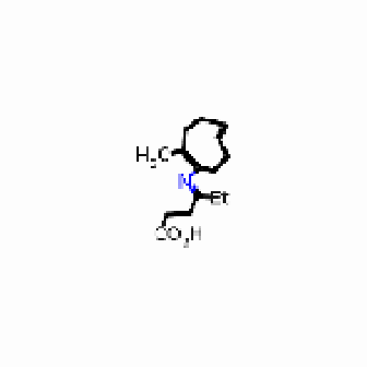 CC/C(CCC(=O)O)=N\C1=C(/C)CC/C=C/CC1